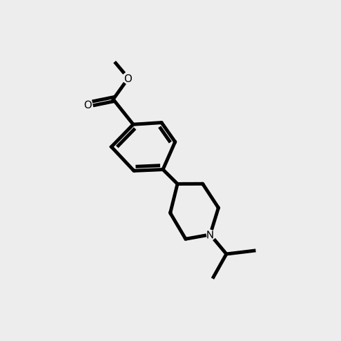 COC(=O)c1ccc(C2CCN(C(C)C)CC2)cc1